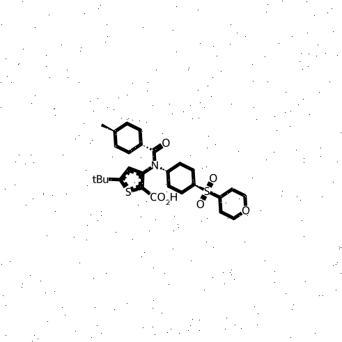 CC(C)(C)c1cc(N(C(=O)[C@H]2CC[C@H](C)CC2)[C@H]2CC[C@H](S(=O)(=O)C3CCOCC3)CC2)c(C(=O)O)s1